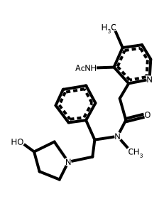 CC(=O)Nc1c(C)ccnc1CC(=O)N(C)C(CN1CCC(O)C1)c1ccccc1